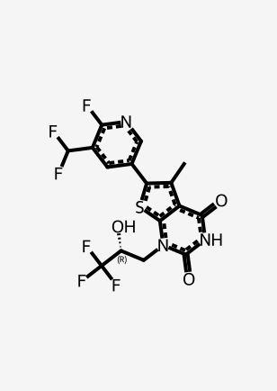 Cc1c(-c2cnc(F)c(C(F)F)c2)sc2c1c(=O)[nH]c(=O)n2C[C@@H](O)C(F)(F)F